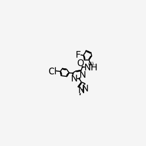 C[C@H](NC(=O)c1cc(-c2ccc(Cl)cc2)nc(-c2cnn(C)c2)n1)c1cccc(F)c1